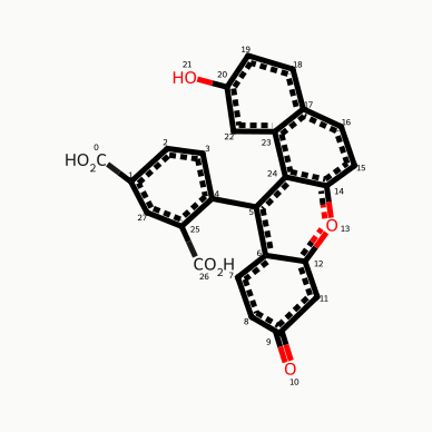 O=C(O)c1ccc(-c2c3ccc(=O)cc-3oc3ccc4ccc(O)cc4c23)c(C(=O)O)c1